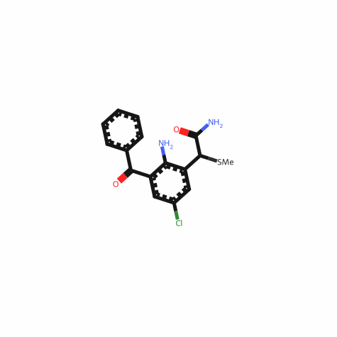 CSC(C(N)=O)c1cc(Cl)cc(C(=O)c2ccccc2)c1N